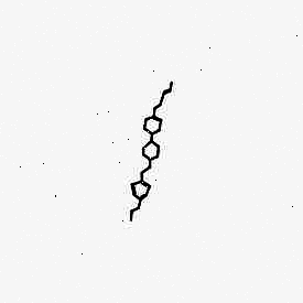 CC=CCCC1=CCC(C2CCC(CCc3ccc(CCC)cc3)CC2)CC1